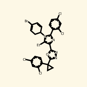 CCc1c(-c2nnc(C3(c4ccc(Cl)cc4Cl)CC3)o2)nc(-c2ccc(Cl)cc2Cl)n1C1C=CC(Br)=CC1